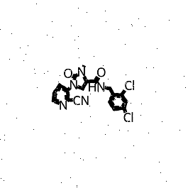 CN1C(=O)N(c2cccnc2C#N)CC1C(=O)NCc1ccc(Cl)cc1Cl